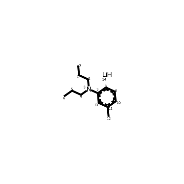 CCCN(CCC)c1cccc(C)c1.[LiH]